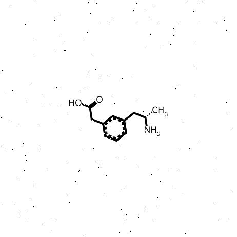 C[C@H](N)Cc1cccc(CC(=O)O)c1